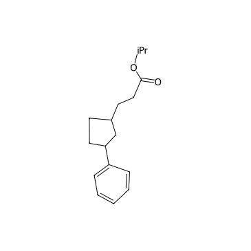 CC(C)OC(=O)CCC1CCC(c2ccccc2)C1